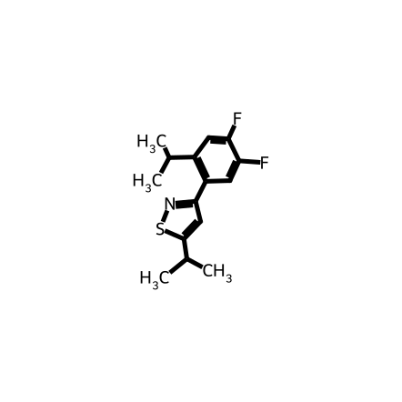 CC(C)c1cc(-c2cc(F)c(F)cc2C(C)C)ns1